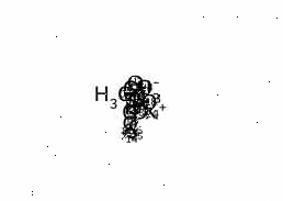 CC1(C)S[C@@H]2[C@H](OC(=O)COc3ccccc3)C(=O)N2[C@H]1C(=O)[O-].[K+]